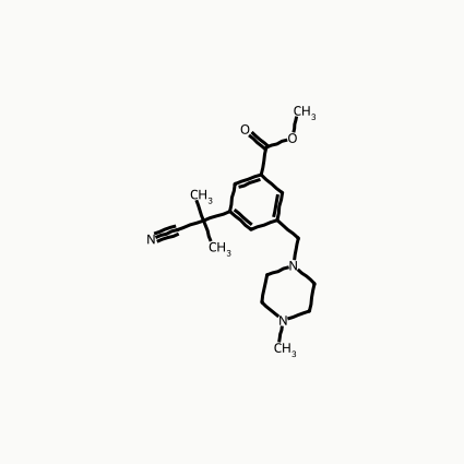 COC(=O)c1cc(CN2CCN(C)CC2)cc(C(C)(C)C#N)c1